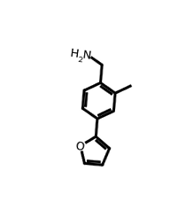 Cc1cc(-c2ccco2)ccc1CN